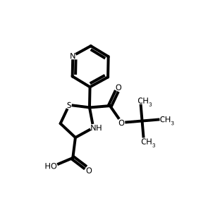 CC(C)(C)OC(=O)C1(c2cccnc2)NC(C(=O)O)CS1